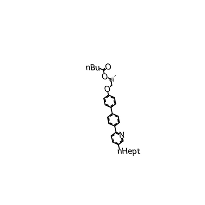 CCCCCCCc1ccc(-c2ccc(-c3ccc(OC[C@@H](C)OC(=O)CCCC)cc3)cc2)nc1